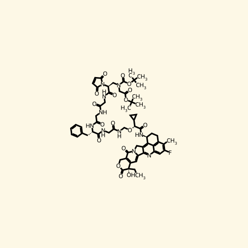 CC[C@@]1(O)C(=O)OCc2c1cc1n(c2=O)Cc2c-1nc1cc(F)c(C)c3c1c2[C@@H](NC(=O)[C@H](OCNC(=O)CNC(=O)[C@H](Cc1ccccc1)NC(=O)CNC(=O)CNC(=O)[C@H](CN(CC(=O)OC(C)(C)C)C(=O)OC(C)(C)C)N1C(=O)C=CC1=O)C1CC1)CC3